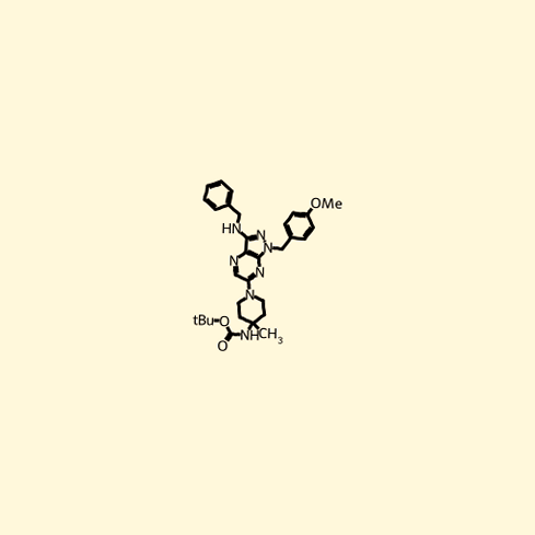 COc1ccc(Cn2nc(NCc3ccccc3)c3ncc(N4CCC(C)(NC(=O)OC(C)(C)C)CC4)nc32)cc1